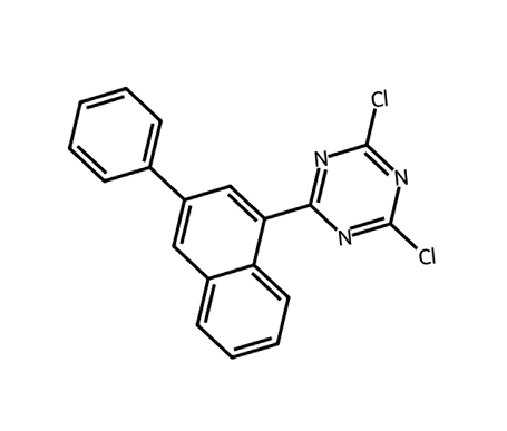 Clc1nc(Cl)nc(-c2cc(-c3ccccc3)cc3ccccc23)n1